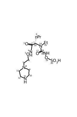 CCC[C@@H](C(=O)NOCCN1CCNCC1)N(CC)C(=O)NOS(=O)(=O)O